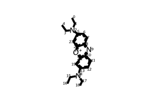 CCN(CC)c1ccc2nc3ccc(N(CC)CC)cc3[o+]c2c1